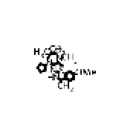 COc1ccc(C(C)Nc2ncc3c(n2)N(C2CCCC2)CC(C)(C)C(=O)N3C)cc1